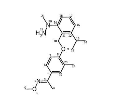 CO/N=C(\C)c1ccc(OCc2c(C(C)C)cccc2N(C)N)c(C)c1